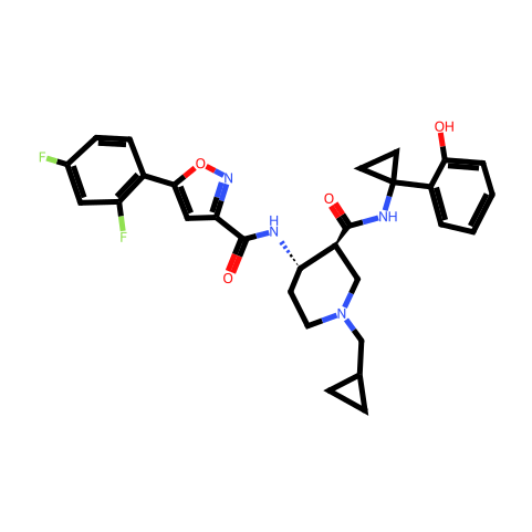 O=C(N[C@H]1CCN(CC2CC2)C[C@@H]1C(=O)NC1(c2ccccc2O)CC1)c1cc(-c2ccc(F)cc2F)on1